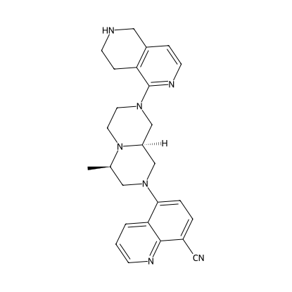 C[C@@H]1CN(c2ccc(C#N)c3ncccc23)C[C@@H]2CN(c3nccc4c3CCNC4)CCN21